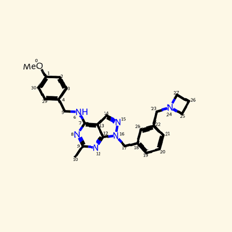 COc1ccc(CNc2nc(C)nc3c2cnn3Cc2cccc(CN3CCC3)c2)cc1